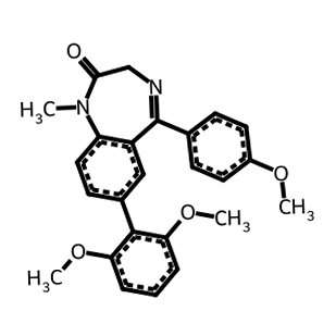 COc1ccc(C2=NCC(=O)N(C)c3ccc(-c4c(OC)cccc4OC)cc32)cc1